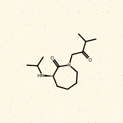 CC(C)N[C@@H]1CCCCN(CC(=O)C(C)C)C1=O